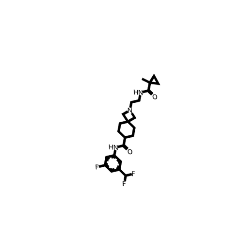 CC1(C(=O)NCCN2CC3(CCC(C(=O)Nc4cc(F)cc(C(F)F)c4)CC3)C2)CC1